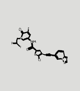 O=C(Nc1cc(F)c(=O)n(CC(F)F)c1)c1cc(C#Cc2ccc3ccnn3c2)c(Cl)s1